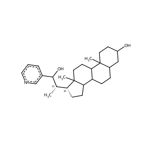 C[C@H](C(O)c1cccnc1)[C@H]1CCC2C3CCC4CC(O)CCC4(C)C3CCC21C